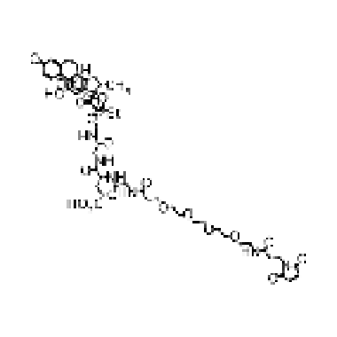 CCC(=O)O[C@]1(C(=O)COCNC(=O)CNC(=O)[C@H](CCC(=O)O)NC(=O)CNC(=O)CCOCCOCCOCCOCCNC(=O)CCN2C(=O)C=CC2=O)[C@@H](C)CC2[C@@H]3CCC4=CC(=O)C=C[C@]4(C)[C@@]3(Cl)[C@@H](O)C[C@@]21C